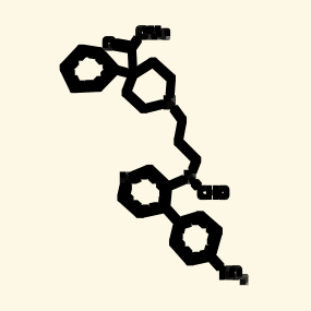 COC(=O)C1(c2ccccc2)CCN(CCCN(C=O)c2cnccc2-c2ccc([N+](=O)[O-])cc2)CC1